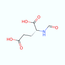 O=CN[C@H](CCC(=O)O)C(=O)O